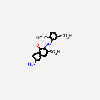 Nc1ccc2c(O)c(N=Nc3cc(C(=O)O)ccc3C(=O)O)c(S(=O)(=O)O)cc2c1